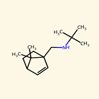 CC(C)(C)NCC12C=CC(CC1)C2(C)C